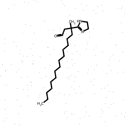 CCCCCCCCCCCCCCC(C)(CC=O)C1=NCCN1